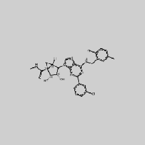 CNC(=O)[C@@]12C[C@@H]1C(n1cnc3c(NCc4cc(C)ccc4Cl)nc(-c4cncc(Cl)c4)nc31)[C@H](O)[C@@H]2O